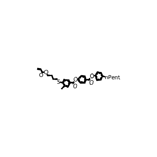 C=CC(=O)OCCCCSc1ccc(C(=O)Oc2ccc(C(=O)Oc3ccc(CCCCC)cc3)cc2)cc1C